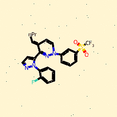 CCC/C=C1\C=CN(c2cccc(S(=O)(=O)C(F)(F)F)c2)N=C1c1ccnn1-c1ccccc1F